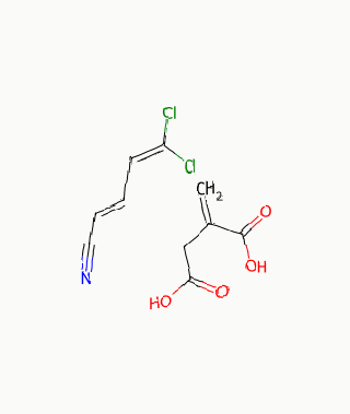 C=C(CC(=O)O)C(=O)O.N#CC=CC=C(Cl)Cl